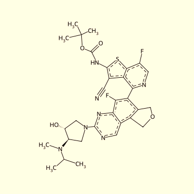 CC(C)N(C)[C@@H]1CN(c2ncc3c4c(c(-c5ncc(F)c6sc(NC(=O)OC(C)(C)C)c(C#N)c56)c(F)c3n2)COC4)C[C@H]1O